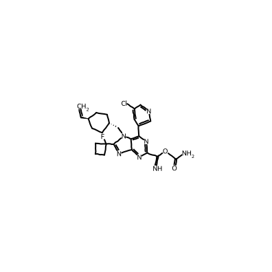 C=C[C@H]1CC[C@H](Cn2c(C3(F)CCC3)nc3nc(C(=N)OC(N)=O)nc(-c4cncc(Cl)c4)c32)CC1